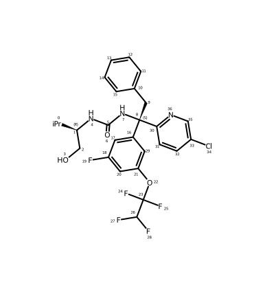 CC(C)[C@H](CO)NC(=O)N[C@@](Cc1ccccc1)(c1cc(F)cc(OC(F)(F)C(F)F)c1)c1ccc(Cl)cn1